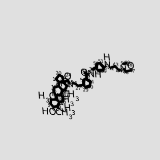 CC1(C)C(O)CCC2(C)C1CCC1(C)C2CCC2C3CCCC3(C(=O)NCCc3cccc(C(=O)NCc4ccc(NCCCN5CCOCC5)cc4)c3)CC[C@]21C